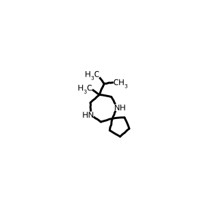 CC(C)C1(C)CNCC2(CCCC2)NC1